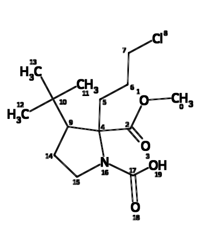 COC(=O)C1(CCCCl)C(C(C)(C)C)CCN1C(=O)O